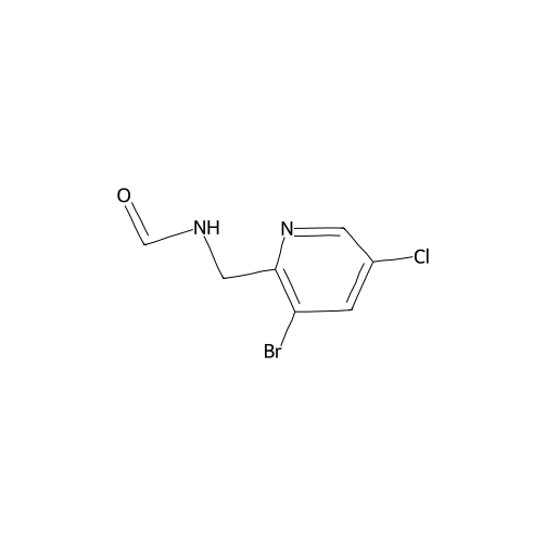 O=CNCc1ncc(Cl)cc1Br